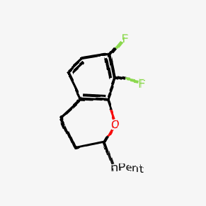 CCCCCC1CCc2ccc(F)c(F)c2O1